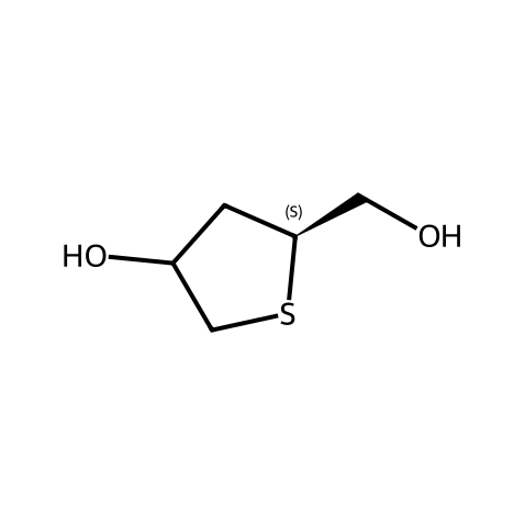 OC[C@@H]1CC(O)CS1